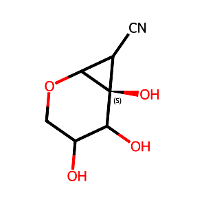 N#CC1C2OCC(O)C(O)[C@@]12O